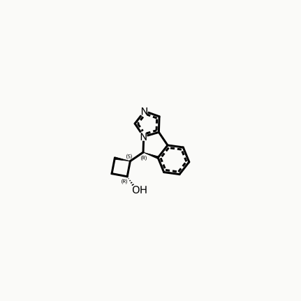 O[C@@H]1CC[C@H]1[C@@H]1c2ccccc2-c2cncn21